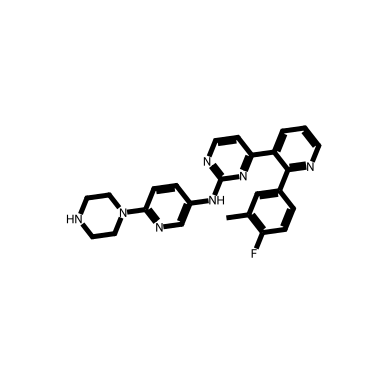 Cc1cc(-c2ncccc2-c2ccnc(Nc3ccc(N4CCNCC4)nc3)n2)ccc1F